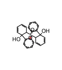 O=S(=O)(C1C=CC=CC1(O)c1ccccc1)C1C=CC=CC1(O)c1ccccc1